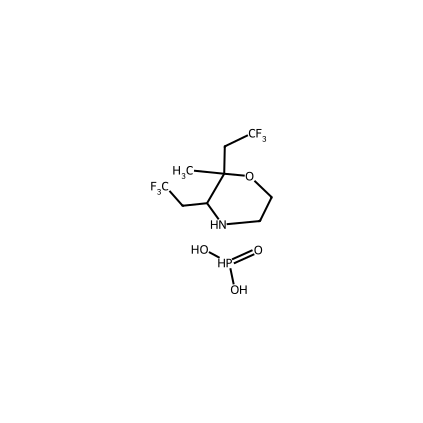 CC1(CC(F)(F)F)OCCNC1CC(F)(F)F.O=[PH](O)O